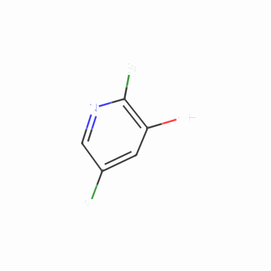 Oc1cc(Br)cnc1Br